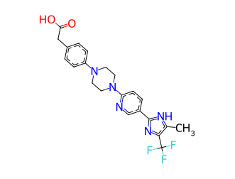 Cc1[nH]c(-c2ccc(N3CCN(c4ccc(CC(=O)O)cc4)CC3)nc2)nc1C(F)(F)F